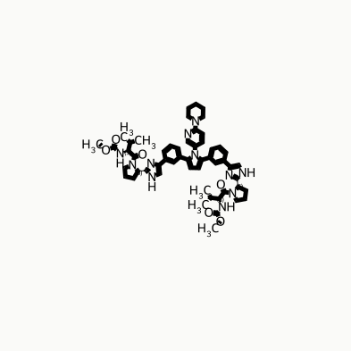 COC(=O)N[C@H](C(=O)N1CCC[C@H]1c1nc(-c2cccc(-c3ccc(-c4cccc(-c5c[nH]c([C@@H]6CCCN6C(=O)[C@@H](NC(=O)OC)C(C)C)n5)c4)n3-c3ccc(N4CCCCC4)nc3)c2)c[nH]1)C(C)C